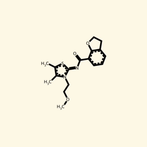 COCCn1c(C)c(C)s/c1=N\C(=O)c1cccc2c1OCC2